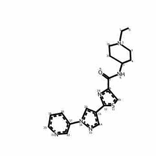 CCN1CCC(NC(=O)c2csc(-c3cnn(-c4cccnc4)c3)n2)CC1